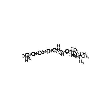 Cc1cc(-c2cc(Nc3ccc(N4CCN(C5CC6(CCN(c7ccc(N8CCC(=O)NC8=O)cc7)CC6)C5)CC4)cn3)ncn2)ccc1[C@@H](C)NC(=O)c1nc(C(C)(C)C)no1